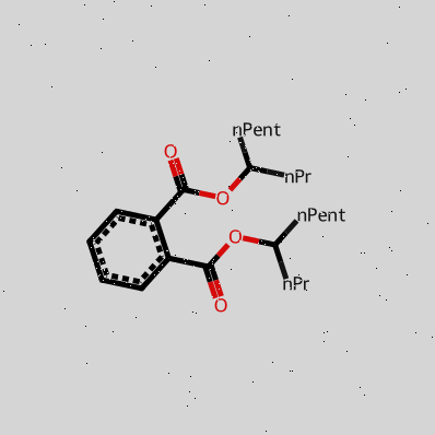 CCCCCC(CCC)OC(=O)c1ccccc1C(=O)OC(CCC)CCCCC